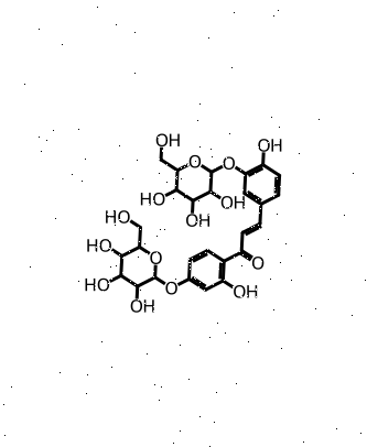 O=C(C=Cc1ccc(O)c(OC2OC(CO)C(O)C(O)C2O)c1)c1ccc(OC2OC(CO)C(O)C(O)C2O)cc1O